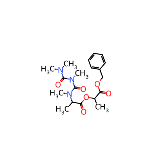 CC(OC(=O)C(C)N(C)C(=O)N(C)C(=O)N(C)C)C(=O)OCc1ccccc1